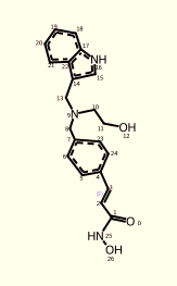 O=C(/C=C/c1ccc(CN(CCO)Cc2c[nH]c3ccccc23)cc1)NO